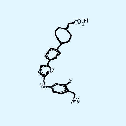 NCc1ccc(Nc2ncc(-c3ccc(C4CCC(CC(=O)O)CC4)cc3)o2)cc1F